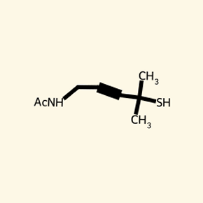 CC(=O)NCC#CC(C)(C)S